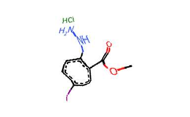 COC(=O)c1cc(I)ccc1NN.Cl